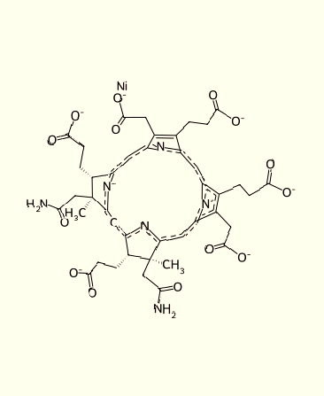 C[C@@]1(CC(N)=O)c2cc3[n-]c(cc4nc(cc5[n-]c(cc(n2)[C@H]1CCC(=O)[O-])[C@@](C)(CC(N)=O)[C@@H]5CCC(=O)[O-])C(CC(=O)[O-])=C4CCC(=O)[O-])c(CCC(=O)[O-])c3CC(=O)[O-].[Ni]